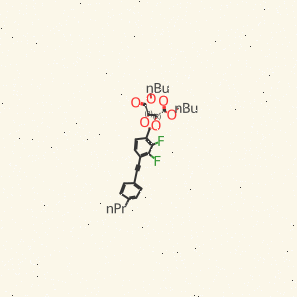 CCCCOC(=O)[C@@H]1OC(c2ccc(C#Cc3ccc(CCC)cc3)c(F)c2F)O[C@H]1C(=O)OCCCC